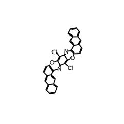 Clc1c2c(c(Cl)c3c1=Nc1c(ccc4cc5ccccc5cc14)O3)=Nc1c(ccc3cc4ccccc4cc13)O2